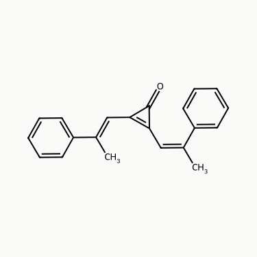 CC(=Cc1c(C=C(C)c2ccccc2)c1=O)c1ccccc1